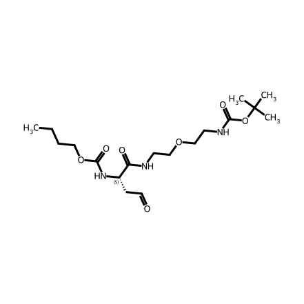 CCCCOC(=O)N[C@@H](CC=O)C(=O)NCCOCCNC(=O)OC(C)(C)C